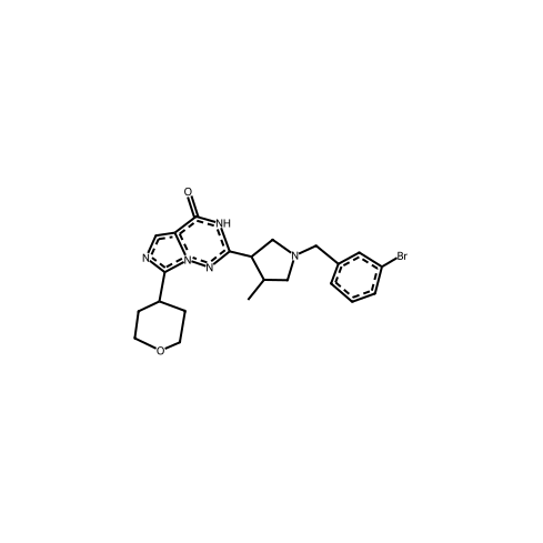 CC1CN(Cc2cccc(Br)c2)CC1c1nn2c(C3CCOCC3)ncc2c(=O)[nH]1